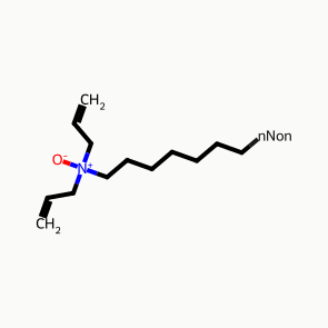 C=CC[N+]([O-])(CC=C)CCCCCCCCCCCCCCCC